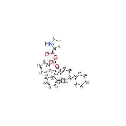 O=C(OC(=O)[C@@H]1CCCN1)OC(c1ccccc1)(c1ccc(C2CCCCC2)cc1)c1ccccc1Cl